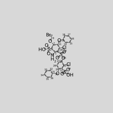 Nc1c(S(=O)(=O)O)c(OCBr)c(Oc2ccccc2)c(Cl)c1S(=O)(=O)Oc1ccc(Oc2ccccc2)c(S(=O)(=O)O)c1Cl